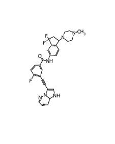 CN1CCN(C2CC(F)(F)c3cc(NC(=O)c4ccc(F)c(C#CC5=CNC6C=CC=NN56)c4)ccc32)CC1